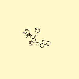 O=C(O)[C@H](CO)NCc1c(OCc2cccnc2)cc(OCc2cccc(-c3ccccc3)c2Br)c2nonc12